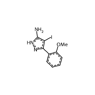 COc1ccccc1-c1n[nH]c(N)c1I